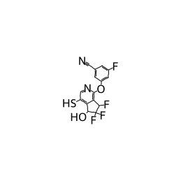 N#Cc1cc(F)cc(Oc2ncc(S)c3c2C(F)C(F)(F)C3O)c1